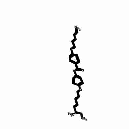 C=CCCCCOc1ccc(C(=O)Oc2ccc(OCCCCC[C@@H](C)CC)cc2)cc1